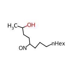 CCCCCCCCCC(CCC(C)O)N=O